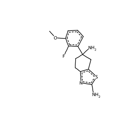 COc1cccc(C2(N)CCc3nc(N)sc3C2)c1F